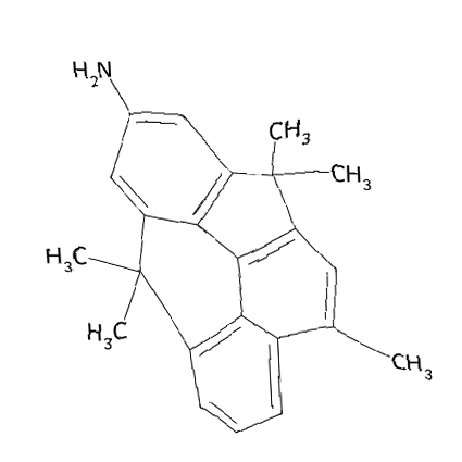 Cc1cc2c3c4c(cccc14)C(C)(C)c1cc(N)cc(c1-3)C2(C)C